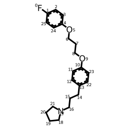 Fc1ccc(OCCCOc2ccc(CCCN3CCCC3)cc2)cc1